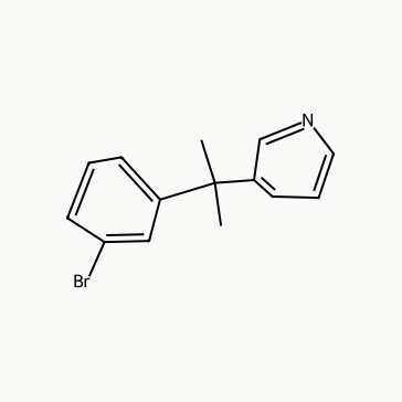 CC(C)(c1cccnc1)c1cccc(Br)c1